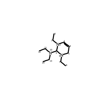 CCN1C=CCN(CC)C1N(CC)CC